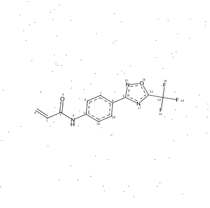 C=CC(=O)Nc1ccc(-c2noc(C(F)(F)F)n2)cc1